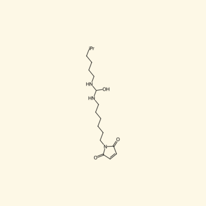 CC(C)CCCCNC(O)NCCCCCCN1C(=O)C=CC1=O